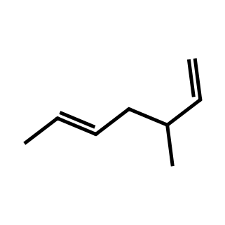 C=CC(C)CC=CC